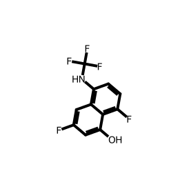 Oc1cc(F)cc2c(NC(F)(F)F)ccc(F)c12